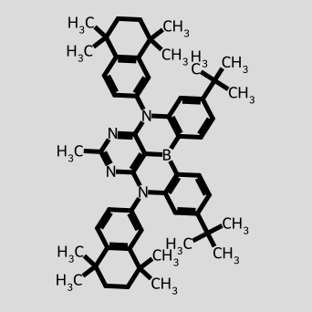 Cc1nc2c3c(n1)N(c1ccc4c(c1)C(C)(C)CCC4(C)C)c1cc(C(C)(C)C)ccc1B3c1ccc(C(C)(C)C)cc1N2c1ccc2c(c1)C(C)(C)CCC2(C)C